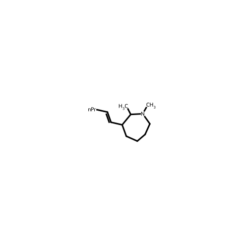 CCCC=CC1CCCCN(C)C1C